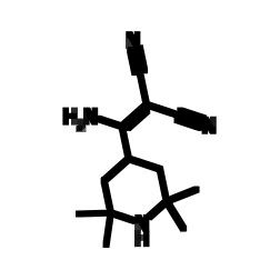 CC1(C)CC(C(N)=C(C#N)C#N)CC(C)(C)N1